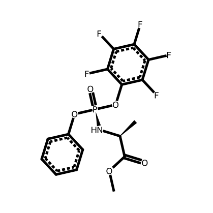 COC(=O)[C@H](C)N[P@](=O)(Oc1ccccc1)Oc1c(F)c(F)c(F)c(F)c1F